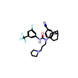 N#Cc1cccc([C@@]23CC[C@@H](N(CCCN4CCCC4)C(=O)Nc4cc(F)cc(C(F)(F)F)c4)CC2C3)c1